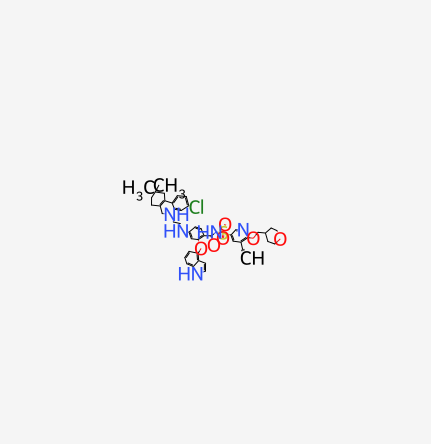 C#Cc1cc(S(=O)(=O)NC(=O)c2ccc(NCCNCC3=C(c4ccc(Cl)cc4)CC(C)(C)CC3)cc2Oc2cccc3[nH]ccc23)cnc1OCC1CCOCC1